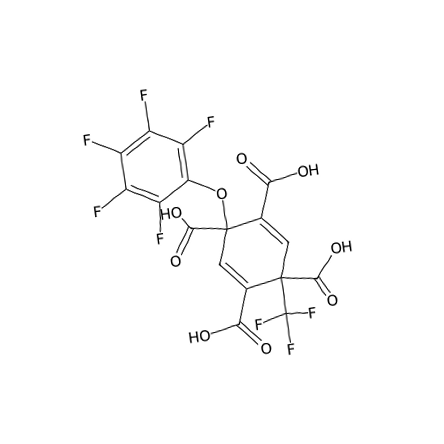 O=C(O)C1=CC(C(=O)O)(C(F)(F)F)C(C(=O)O)=CC1(Oc1c(F)c(F)c(F)c(F)c1F)C(=O)O